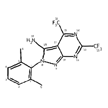 Cc1cccc(C)c1-n1nc2nc(C(F)(F)F)nc(C(F)(F)F)c2c1N